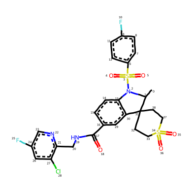 CC1N(S(=O)(=O)c2ccc(F)cc2)c2ccc(C(=O)NCc3ncc(F)cc3Cl)cc2C12CCS(=O)(=O)CC2